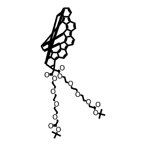 CC(C)(C)OC(=O)COCCOCCOCCOC(=O)C1(C(=O)OCCOCCOCCOCC(=O)OC(C)(C)C)C2c3c4ccc5c6ccc7c8ccc9c%10ccc%11c(c%12c3c3c4c5c4c6c7c5c8c9c6c%10c%11c%12c7c3c4c5c67)C21